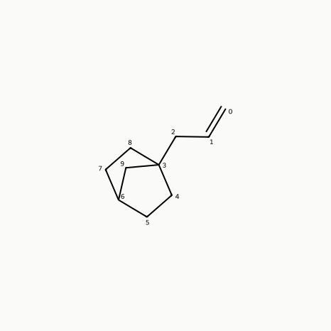 C=CCC12CCC(CC1)C2